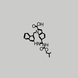 CC(C)COC(=O)NC(=N)c1ccc2cc(C(=O)O)n(Cc3cccc4ccccc34)c2c1